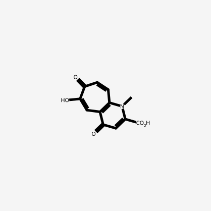 Cn1c(C(=O)O)cc(=O)c2cc(O)c(=O)ccc21